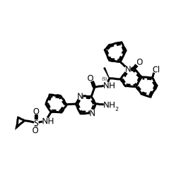 C[C@H](NC(=O)c1nc(-c2cccc(NS(=O)(=O)C3CC3)c2)cnc1N)c1cc2cccc(Cl)c2c(=O)n1-c1ccccc1